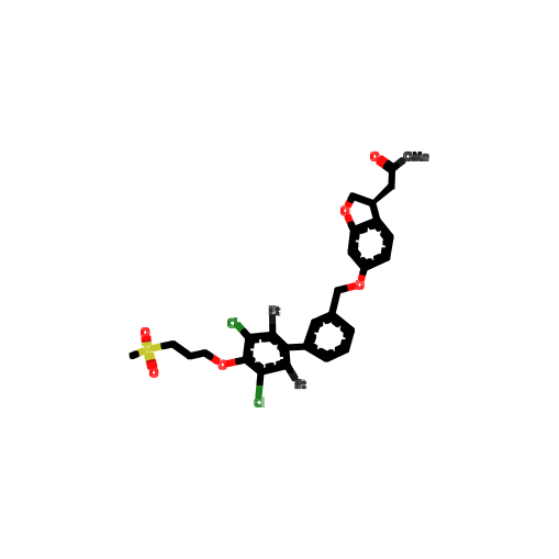 CCc1c(Cl)c(OCCCS(C)(=O)=O)c(Cl)c(CC)c1-c1cccc(COc2ccc3c(c2)OC[C@H]3CC(=O)OC)c1